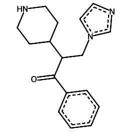 O=C(c1ccccc1)C(Cn1ccnc1)C1CCNCC1